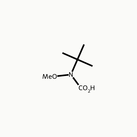 CON(C(=O)O)C(C)(C)C